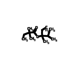 CCC(C)(C)C(=O)OC(C)(CC)C(C)C